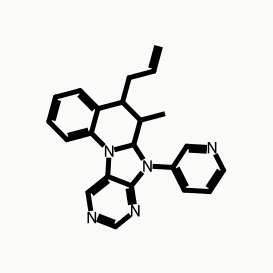 C=CCC1c2ccccc2N2c3cncnc3N(c3cccnc3)C2C1C